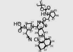 CC(C)(C)OC(=O)NC1(COc2nc3c(c(N4CCN(C(=O)O)C(CC#N)C4)n2)CCN(c2cccc4cccc(Cl)c24)C3)CCCC1